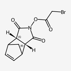 O=C(CBr)ON1C(=O)[C@@H]2C3C=CC(C3)[C@@H]2C1=O